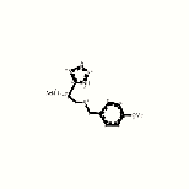 COc1ccc(CSC[C@H](NC(C)=O)c2nnn[nH]2)cc1